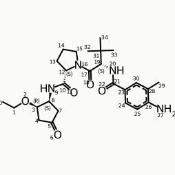 CCO[C@@H]1CC(=O)C[C@@H]1NC(=O)[C@@H]1CCCN1C(=O)[C@@H](NC(=O)c1ccc(N)c(C)c1)C(C)(C)C